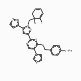 COc1ccc(COc2nc(-c3cc(-c4ccon4)n(CC4(C)CC=CC=C4F)n3)ncc2-c2ccsc2)cc1